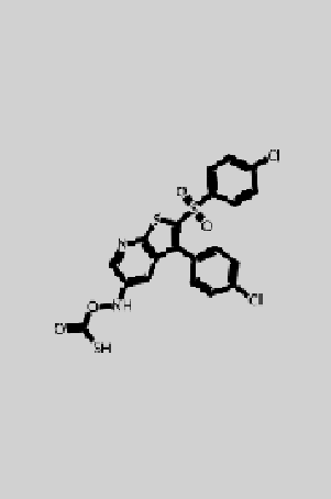 O=C(S)ONc1cnc2sc(S(=O)(=O)c3ccc(Cl)cc3)c(-c3ccc(Cl)cc3)c2c1